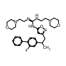 CC(Cc1cc(NC(=NCCN2CCOCC2)NCCN2CCOCC2)on1)c1ccc(-c2ccccc2)c(F)c1